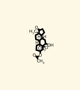 CC(=O)OC1CC[C@]2(C)[C@@H]3CC[C@]4(C)C(=O)CC[C@H]4[C@@H]3CC(O)C2(Cl)C1